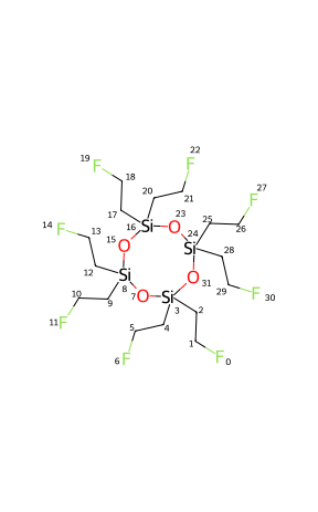 FCC[Si]1(CCF)O[Si](CCF)(CCF)O[Si](CCF)(CCF)O[Si](CCF)(CCF)O1